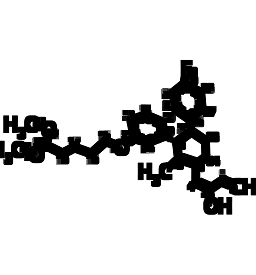 C=C/C(O)=C\C1=C(C)[C@H](c2cccc(OCCCCC(OC)OC)c2)[C@H](c2ccc(F)cc2)CC1